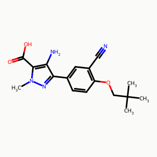 Cn1nc(-c2ccc(OCC(C)(C)C)c(C#N)c2)c(N)c1C(=O)O